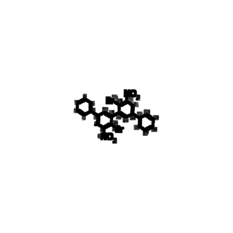 O=[N+]([O-])c1cc(-c2ccccc2)cc(-c2cc(-c3ccccc3)cc([N+](=O)[O-])c2Br)c1Br